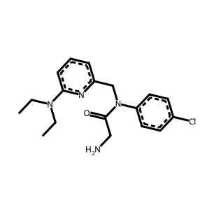 CCN(CC)c1cccc(CN(C(=O)CN)c2ccc(Cl)cc2)n1